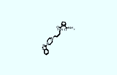 NC(=O)C1C2CCC(C2)C1C(=O)NC/C=C\CN1CCN(c2nsc3ccccc23)CC1